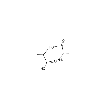 CC(C)C(=O)O.C[C@H](N)C(=O)O